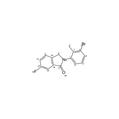 Cc1c(Br)cccc1N1Cc2ccc(F)cc2C1=O